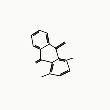 O=C1c2ccccc2C(=O)c2c(I)ccc(O)c21